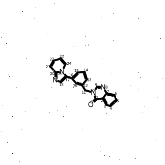 O=c1c2ccccc2ncn1Cc1cccc(-c2cnc3ccccn23)c1